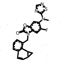 CN(c1ncns1)c1cc2oc(=O)n(Cc3cccc4c3C3CC3C=C4)c2cc1F